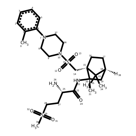 Cc1ccccc1N1CCN(S(=O)(=O)C[C@@]23CC[C@@H](C[C@]2(C)NC(=O)[C@@H](N)CCS(C)(=O)=O)C3(C)C)CC1